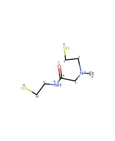 CCN(CCS)CC(=O)NCCS